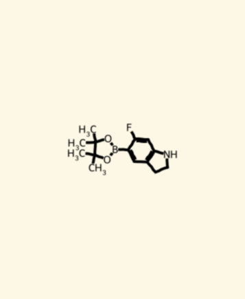 CC1(C)OB(c2cc3c(cc2F)NCC3)OC1(C)C